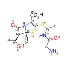 CC(NC(=O)CN)SC1=C(C(=O)O)N2C(=O)[C@H](C(C)O)[C@H]2S1